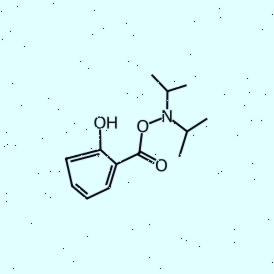 CC(C)N(OC(=O)c1ccccc1O)C(C)C